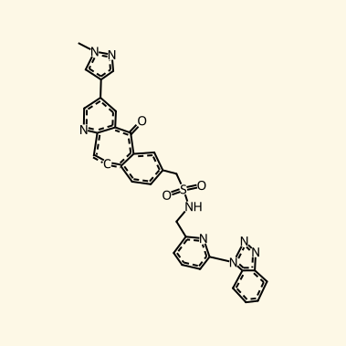 Cn1cc(-c2cnc3ccc4ccc(CS(=O)(=O)NCc5cccc(-n6nnc7ccccc76)n5)cc4c(=O)c3c2)cn1